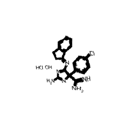 Cl.Cl.N=C(N)C1(c2ccc(Cl)cc2)N=C(N)N=C1N=C1CCc2ccccc21